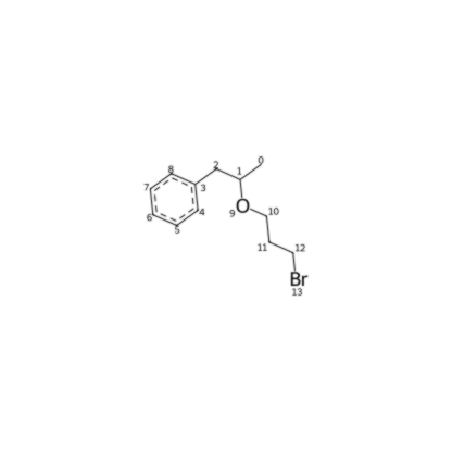 CC(Cc1ccccc1)OCCCBr